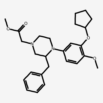 COC(=O)CN1CCN(c2ccc(OC)c(OC3CCCC3)c2)C(Cc2ccccc2)C1